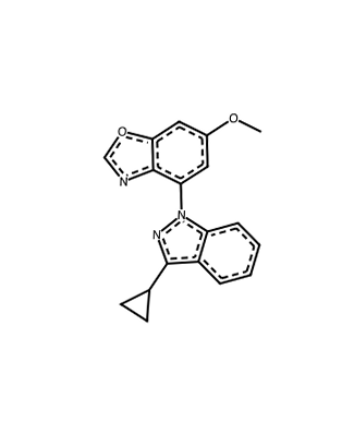 COc1cc(-n2nc(C3CC3)c3ccccc32)c2ncoc2c1